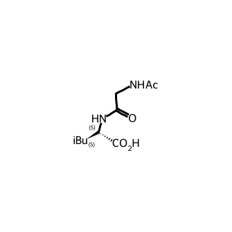 CC[C@H](C)[C@H](NC(=O)CNC(C)=O)C(=O)O